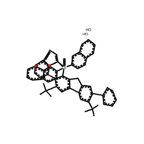 Cl.Cl.[CH2]=[Zr]([C]1=CC=CC1)([c]1ccc2ccccc2c1)([c]1ccc2ccccc2c1)[c]1c2c(cc(C(C)(C)C)c1-c1ccccc1)-c1cc(C(C)(C)C)c(-c3ccccc3)cc1C2